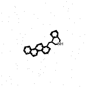 c1ccc2c(c1)CNCC2Cc1cccc2c1ccc1c3ccccc3ccc21